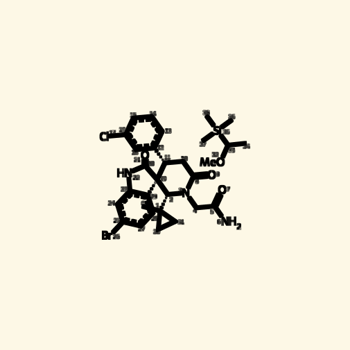 CC1([C@H]2N(CC(N)=O)C(=O)C[C@@H](c3cccc(Cl)c3)[C@]23C(=O)Nc2cc(Br)ccc23)CC1.COC(C)[Si](C)(C)C